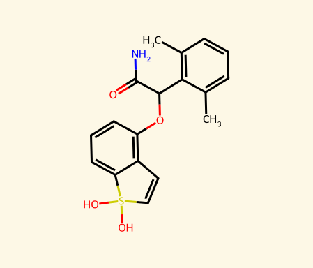 Cc1cccc(C)c1C(Oc1cccc2c1C=CS2(O)O)C(N)=O